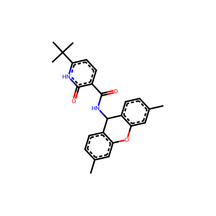 Cc1ccc2c(c1)Oc1cc(C)ccc1C2NC(=O)c1ccc(C(C)(C)C)[nH]c1=O